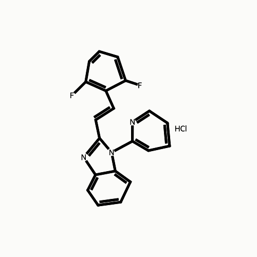 Cl.Fc1cccc(F)c1/C=C/c1nc2ccccc2n1-c1ccccn1